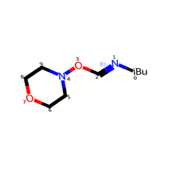 CCC(C)/N=C/ON1CCOCC1